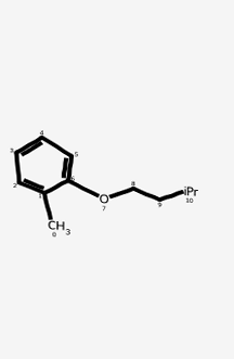 Cc1ccccc1OCCC(C)C